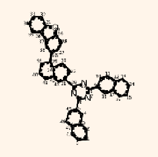 c1ccc2cc(-c3nc(-c4ccc5ccccc5c4)nc(-c4ccc5c(-c6ccc7oc8ccccc8c7c6)cccc5c4)n3)ccc2c1